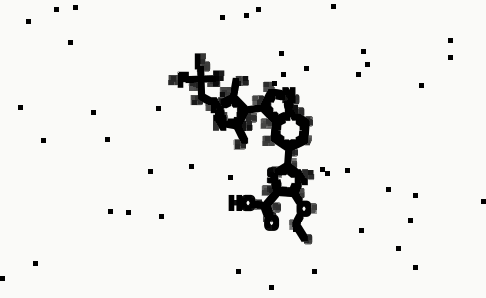 CCOc1nc(-c2ccn3ncc(-c4c(C)nn(CC(F)(F)F)c4C)c3c2)sc1C(=O)O